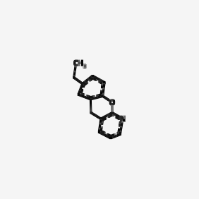 CCc1ccc2c(c1)Cc1cccnc1O2